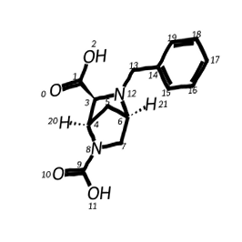 O=C(O)[C@@H]1[C@H]2C[C@H](CN2C(=O)O)N1Cc1ccccc1